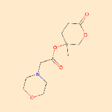 CC1(OC(=O)CN2CCOCC2)CCC(=O)OC1